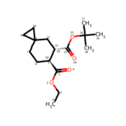 CCOC(=O)[C@H]1CCC2(CC2)C[C@@H]1C(=O)OC(C)(C)C